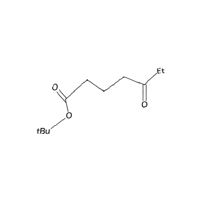 CCC(=O)CCCC(=O)OC(C)(C)C